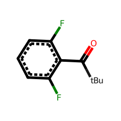 CC(C)(C)C(=O)c1c(F)cccc1F